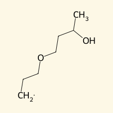 [CH2]CCOCCC(C)O